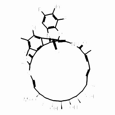 CO[C@H]1/C=C/O[C@@]2(C)Oc3c(C)c(O)c4c(=O)c(c5oc6c(F)c(C(C)C)c(F)cc6nc-5c4c3C2=O)NC(=O)/C(C)=C\C=C\[C@H](C)[C@H](O)[C@@H](C)[C@@H](O)[C@@H](C)[C@H](O)[C@@H]1C